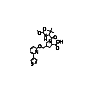 COC(=O)NC(C(=O)N1CC(COc2cccc(-c3ccsc3)n2)CC1C(=O)O)C(C)(C)C